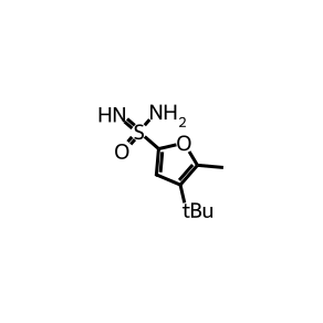 Cc1oc(S(=N)(N)=O)cc1C(C)(C)C